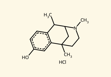 CC1c2ccc(O)cc2C2(C)CCN(C)C1C2.Cl